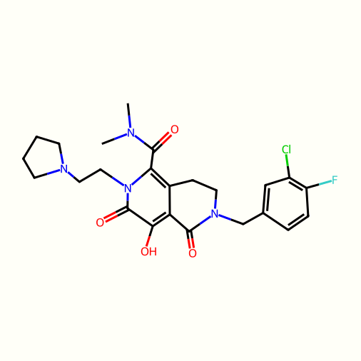 CN(C)C(=O)c1c2c(c(O)c(=O)n1CCN1CCCC1)C(=O)N(Cc1ccc(F)c(Cl)c1)CC2